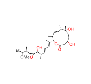 CC[C@H](OC)[C@@H](C)[C@H]1O[C@@H]1[C@@H](O)[C@H](C)/C=C/C=C(\C)[C@H]1OC(=O)C[C@H](O)CC[C@@](C)(O)[C@@H](C)/C=C/[C@@H]1C